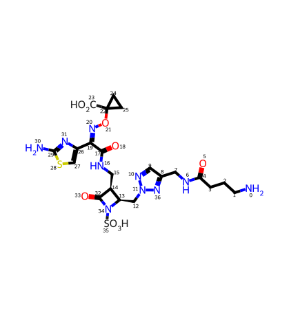 NCCCC(=O)NCc1cnn(C[C@@H]2[C@H](CNC(=O)/C(=N\OC3(C(=O)O)CC3)c3csc(N)n3)C(=O)N2S(=O)(=O)O)n1